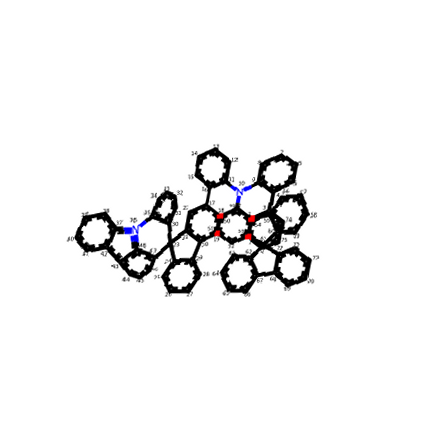 c1ccc(-c2ccccc2N(c2ccccc2-c2ccc3c(c2)C2(c4ccccc4-3)c3ccccc3-n3c4ccccc4c4cccc2c43)c2cccc3c2-c2ccccc2C32c3ccccc3-c3ccccc32)cc1